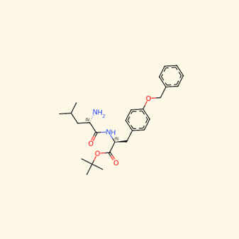 CC(C)C[C@H](N)C(=O)N[C@@H](Cc1ccc(OCc2ccccc2)cc1)C(=O)OC(C)(C)C